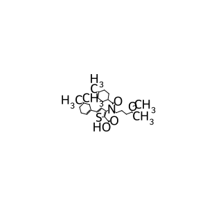 COC(C)CCCN(C(=O)C1CCC(C)CC1)c1cc(C2=CCCC(C)(C)C2)sc1C(=O)O